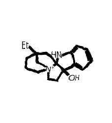 CCC12CCC[N+]3(CCC4(O)c5ccccc5NC43CC1)C2